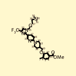 COC(=O)c1ccc(C)c(OCC2CCN(c3ccc(-c4nc(C(F)(F)F)cn4COCC[Si](C)(C)C)cn3)CC2)c1